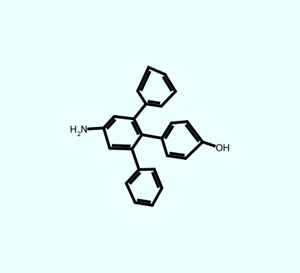 Nc1cc(-c2ccccc2)c(-c2ccc(O)cc2)c(-c2ccccc2)c1